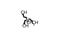 C#CCC[N+](C)(CC#C)CC#C